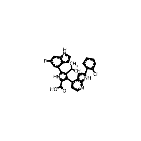 CC(C)c1c(-c2cc(F)cc3[nH]ccc23)[nH]c(C(=O)O)c1-c1ccnc2[nH]c(-c3ccccc3Cl)cc12